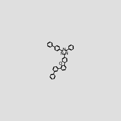 C1=CC2c3cccc(-c4cccc(-c5ccccc5)c4)c3OC2C=C1c1nc(-c2ccccc2)nc(-c2ccc(-c3ccccc3)cc2)n1